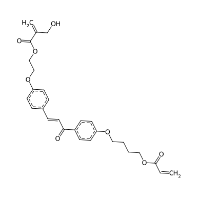 C=CC(=O)OCCCCOc1ccc(C(=O)/C=C/c2ccc(OCCOC(=O)C(=C)CO)cc2)cc1